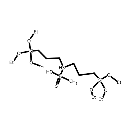 CCO[Si](CCC[SH](CCC[Si](OCC)(OCC)OCC)P(C)(O)=S)(OCC)OCC